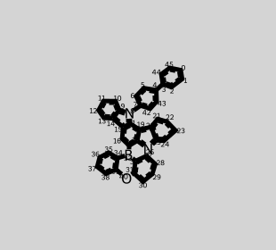 c1ccc(-c2ccc(-n3c4ccccc4c4cc5c6c(c7ccccc7n6-c6cccc7c6B5c5ccccc5O7)c43)cc2)cc1